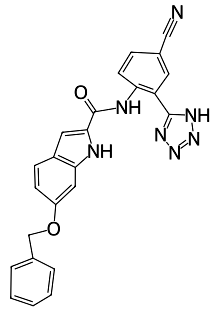 N#Cc1ccc(NC(=O)c2cc3ccc(OCc4ccccc4)cc3[nH]2)c(-c2nnn[nH]2)c1